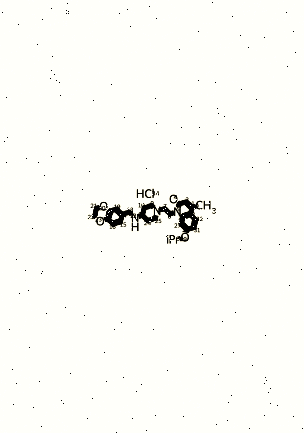 Cc1cc(=O)n(CCN2CCC(NCc3ccc4c(c3)OCCO4)CC2)c2cc(OC(C)C)ccc12.Cl